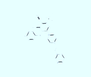 N#Cc1c(C(F)(F)F)cc(-c2ccc(OCc3ccccc3)cc2)n(Cc2ccccc2)c1=O